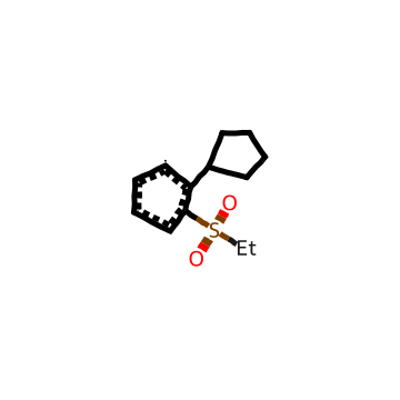 CCS(=O)(=O)c1ccc[c]c1C1CCCC1